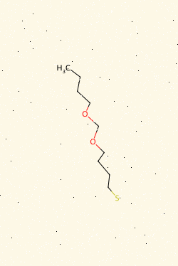 CCCCOCOCCCC[S]